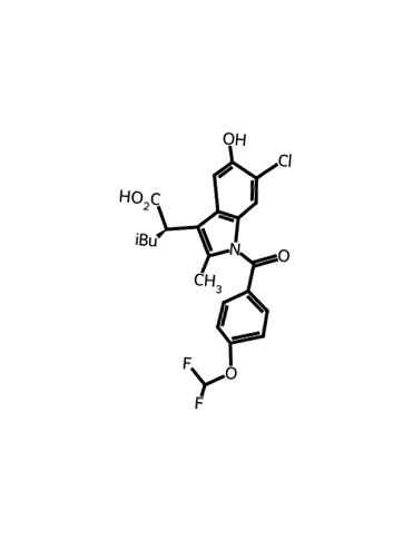 CCC(C)[C@@H](C(=O)O)c1c(C)n(C(=O)c2ccc(OC(F)F)cc2)c2cc(Cl)c(O)cc12